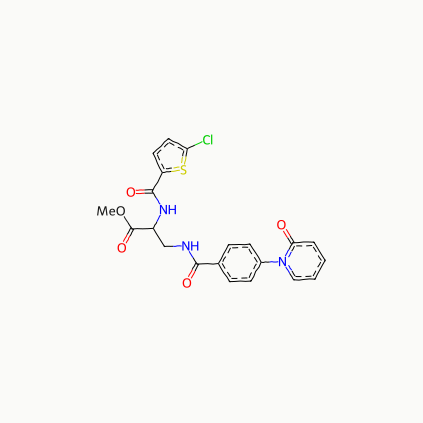 COC(=O)C(CNC(=O)c1ccc(-n2ccccc2=O)cc1)NC(=O)c1ccc(Cl)s1